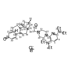 CCN(CC)c1ccc(N(CC)CC)c(N2CCN(CC(=O)[C@H]3[C@H](C)C[C@H]4[C@@H]5CCC6=CC(=O)C=C[C@]6(C)C5=CC[C@@]43C)CC2)n1.[Cl-].[H+]